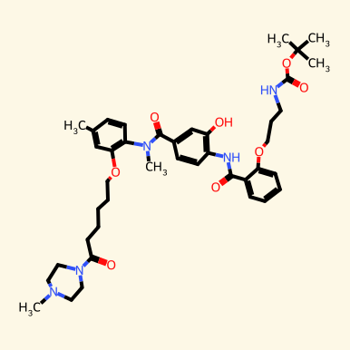 Cc1ccc(N(C)C(=O)c2ccc(NC(=O)c3ccccc3OCCCNC(=O)OC(C)(C)C)c(O)c2)c(OCCCCCC(=O)N2CCN(C)CC2)c1